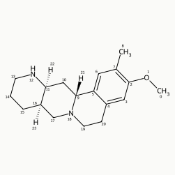 COc1cc2c(cc1C)[C@H]1C[C@@H]3NCCC[C@@H]3CN1CC2